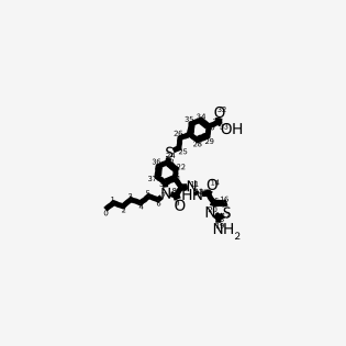 CCCCCCCN1C(=O)C(=NNC(=O)c2csc(N)n2)c2cc(SCCc3ccc(C(=O)O)cc3)ccc21